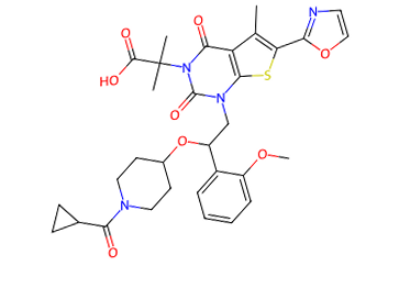 COc1ccccc1C(Cn1c(=O)n(C(C)(C)C(=O)O)c(=O)c2c(C)c(-c3ncco3)sc21)OC1CCN(C(=O)C2CC2)CC1